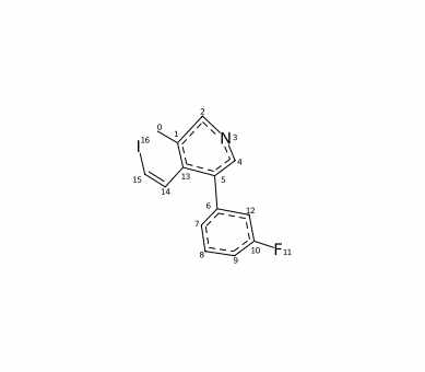 Cc1cncc(-c2cccc(F)c2)c1/C=C\I